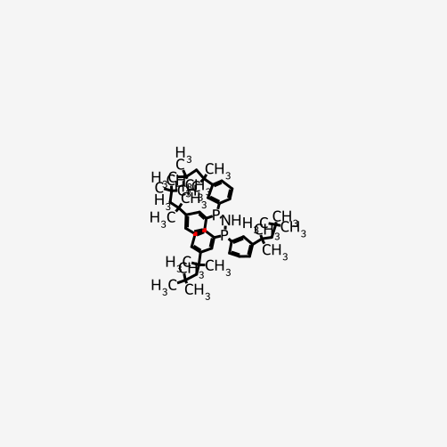 CC(C)(C)CC(C)(C)c1cccc(P(NP(c2cccc(C(C)(C)CC(C)(C)C)c2)c2cccc(C(C)(C)CC(C)(C)C)c2)c2cccc(C(C)(C)CC(C)(C)C)c2)c1